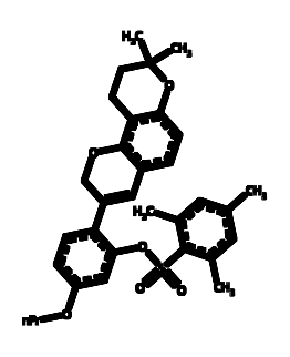 CCCOc1ccc(C2=Cc3ccc4c(c3OC2)CCC(C)(C)O4)c(OS(=O)(=O)c2c(C)cc(C)cc2C)c1